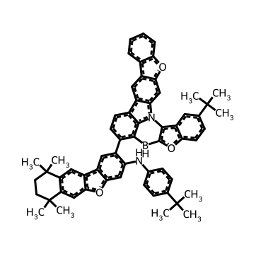 CC(C)(C)c1ccc(Nc2cc3oc4cc5c(cc4c3cc2-c2ccc3c4cc6c(cc4n4c3c2Bc2oc3ccc(C(C)(C)C)cc3c2-4)oc2ccccc26)C(C)(C)CCC5(C)C)cc1